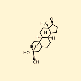 C#C[C@@]1(O)CC[C@@]2(C)C(CC[C@@H]3[C@@H]2CC[C@]2(C)C(=O)CC[C@@H]32)C1